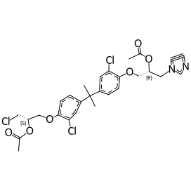 CC(=O)O[C@H](CCl)COc1ccc(C(C)(C)c2ccc(OC[C@@H](Cn3c#cnc3)OC(C)=O)c(Cl)c2)cc1Cl